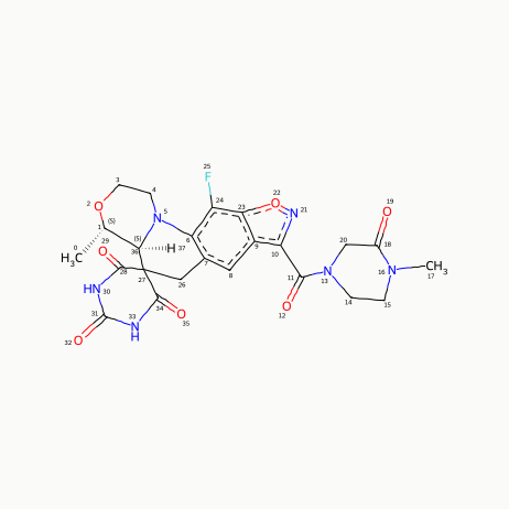 C[C@@H]1OCCN2c3c(cc4c(C(=O)N5CCN(C)C(=O)C5)noc4c3F)CC3(C(=O)NC(=O)NC3=O)[C@@H]12